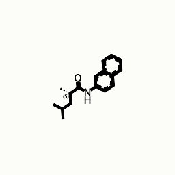 CC(C)C[C@H](C)C(=O)Nc1ccc2ccccc2c1